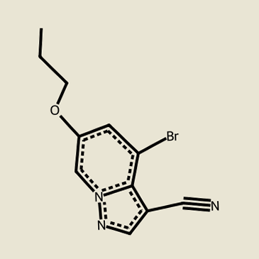 CCCOc1cc(Br)c2c(C#N)cnn2c1